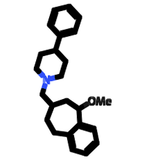 COC1CC(CN2CCC(c3ccccc3)CC2)CCc2ccccc21